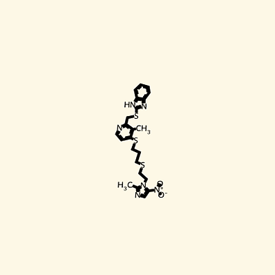 Cc1c(SCCCSCCn2c([N+](=O)[O-])cnc2C)ccnc1CSc1nc2ccccc2[nH]1